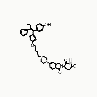 CC/C(=C(\c1ccc(O)cc1)c1ccc(OCCCCN2CCN(c3ccc4c(c3)CN([C@H]3CCC(=O)NC3=O)C4=O)CC2)cc1)c1ccccc1